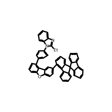 CCc1nc2ccccc2n1-c1ccc(-c2cccc3oc4ccc(-c5cccc6c5-c5ccccc5C65c6ccccc6-c6ccccc65)cc4c23)cc1